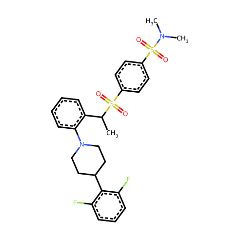 CC(c1ccccc1N1CCC(c2c(F)cccc2F)CC1)S(=O)(=O)c1ccc(S(=O)(=O)N(C)C)cc1